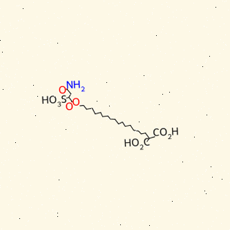 NC(=O)CC(C(=O)OCCCCCCCCCCCCCCCCCCC(CC(=O)O)C(=O)O)S(=O)(=O)O